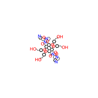 O=C(C(Cc1ccncc1)N1C(=O)c2cc(Oc3ccc(CCO)cc3)c3c4c(Oc5ccc(CCO)cc5)cc5c6c(cc(Oc7ccc(CCO)cc7)c(c7c(Oc8ccc(CCO)cc8)cc(c2c37)C1=O)c64)C(=O)N(C(Cc1ccncc1)C(=O)N1CCCCC1)C5=O)N1CCCCC1